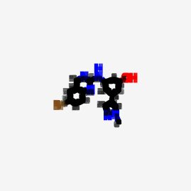 Cn1cc(-c2cc(O)cc(Nc3ncc4cc(Br)ccc4n3)c2)cn1